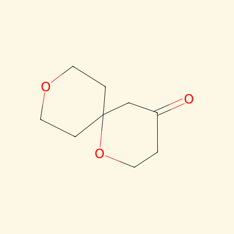 O=C1CCOC2(CCOCC2)C1